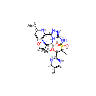 COc1cccc(-c2nnc(NS(=O)(=O)C(C)C(OC(C)C)c3ncc(C)cn3)n2Cc2ccon2)n1